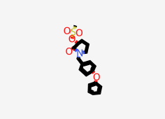 CS(=O)(=O)OC1CCCN(Cc2ccc(Oc3ccccc3)cc2)C1=O